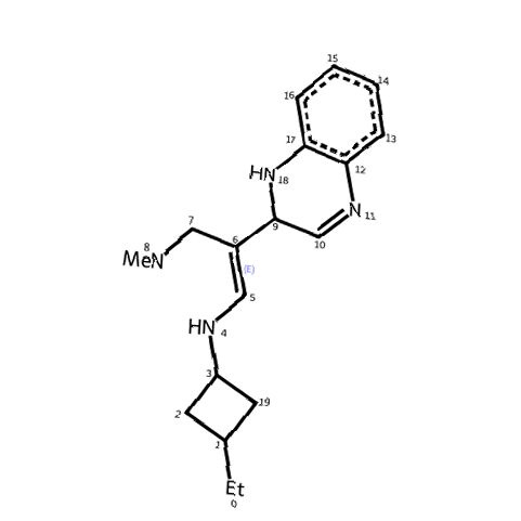 CCC1CC(N/C=C(\CNC)C2C=Nc3ccccc3N2)C1